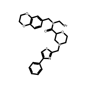 CC(C)CN(Cc1ccc2c(c1)OCCO2)C(=O)C1CN(Cc2nc(-c3ccccc3)cs2)CCO1